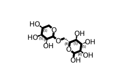 OC1O[C@H](COC2OC[C@H](O)[C@H](O)[C@H]2O)[C@@H](O)[C@H](O)[C@H]1O